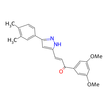 COc1cc(OC)cc(C(=O)C=Cc2cc(-c3ccc(C)c(C)c3)n[nH]2)c1